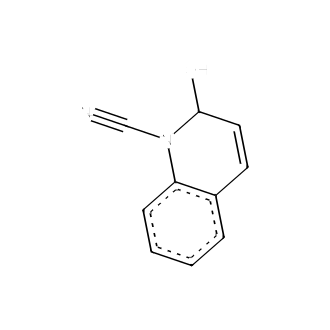 N#CN1c2ccccc2C=CC1O